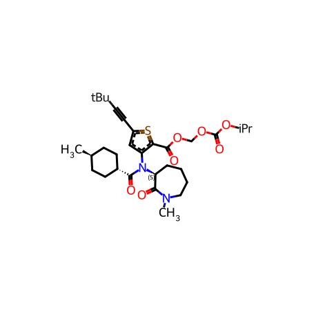 CC(C)OC(=O)OCOC(=O)c1sc(C#CC(C)(C)C)cc1N(C(=O)[C@H]1CC[C@H](C)CC1)[C@H]1CCCCN(C)C1=O